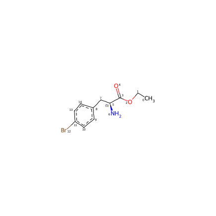 CCOC(=O)[C@@H](N)Cc1ccc(Br)cc1